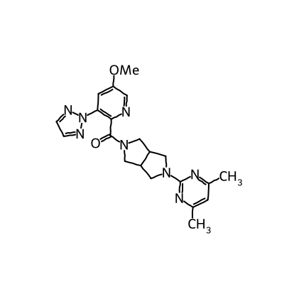 COc1cnc(C(=O)N2CC3CN(c4nc(C)cc(C)n4)CC3C2)c(-n2nccn2)c1